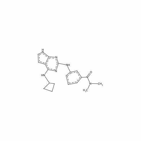 CN(C)C(=O)c1cccc(Nc2nc(NC3CCC3)c3cc[nH]c3n2)c1